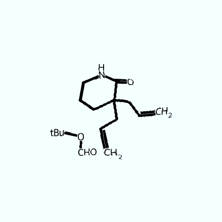 C=CCC1(CC=C)CCCNC1=O.CC(C)(C)OC=O